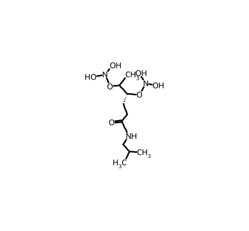 CC(C)CNC(=O)CC[C@@H](ON(O)O)C(C)ON(O)O